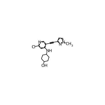 Cn1ccc(C#Cc2cnc(Cl)cc2NC2CCC(O)CC2)n1